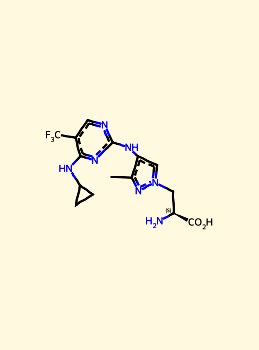 Cc1nn(C[C@H](N)C(=O)O)cc1Nc1ncc(C(F)(F)F)c(NC2CC2)n1